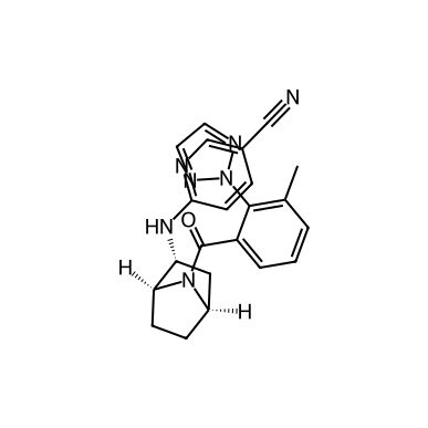 Cc1cccc(C(=O)N2[C@@H]3CC[C@H]2[C@H](Nc2ccc(C#N)cn2)C3)c1-n1nccn1